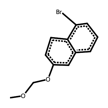 COCOc1ccc2c(Br)cccc2c1